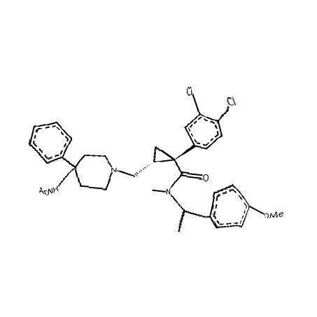 COc1ccc(C(C)N(C)C(=O)[C@@]2(c3ccc(Cl)c(Cl)c3)C[C@H]2CN2CCC(NC(C)=O)(c3ccccc3)CC2)cc1